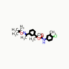 C/C(=N\OC(C)(C)C)c1cccc(C(C)(C)OC(=O)Nc2ccc(Cl)c(C)c2)c1